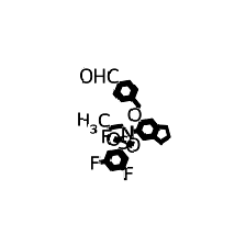 CC(F)CN(c1cc2c(cc1OCc1ccc(C=O)cc1)CCC2)S(=O)(=O)c1cc(F)cc(F)c1